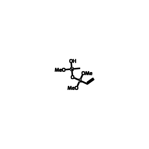 C=C[Si](OC)(OC)O[Si](C)(O)OC